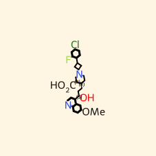 COc1ccc2nccc([C@@H](O)CC[C@@H]3CCN(C4CC(c5ccc(Cl)cc5F)C4)C[C@@H]3C(=O)O)c2c1